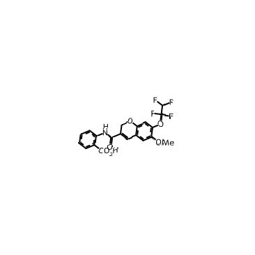 COc1cc2c(cc1OC(F)(F)C(F)F)OCC(C(=O)Nc1ccccc1C(=O)O)=C2